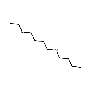 CCCCNCCCCNCC